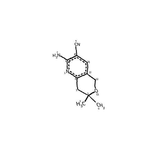 CC1(C)Cc2nc(N)c(C#N)cc2CO1